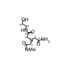 CNC(=O)CN(CC(N)=O)CC(=O)NCCO